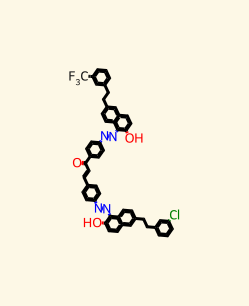 O=C(C=Cc1ccc(N=Nc2c(O)ccc3cc(CCc4cccc(Cl)c4)ccc23)cc1)c1ccc(N=Nc2c(O)ccc3cc(CCc4cccc(C(F)(F)F)c4)ccc23)cc1